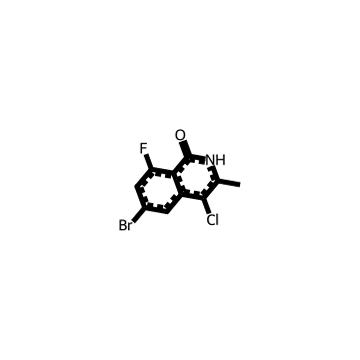 Cc1[nH]c(=O)c2c(F)cc(Br)cc2c1Cl